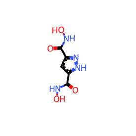 O=C(NO)c1cc(C(=O)NO)[nH]n1